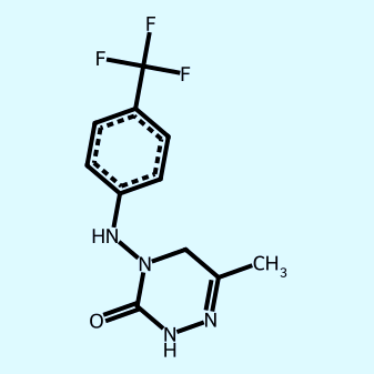 CC1=NNC(=O)N(Nc2ccc(C(F)(F)F)cc2)C1